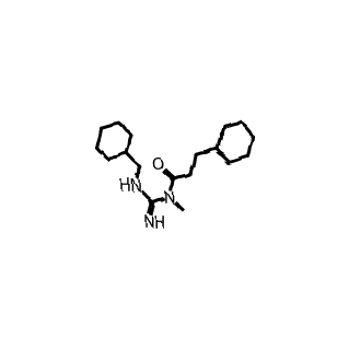 CN(C(=N)NCC1CCCCC1)C(=O)CCC1CCCCC1